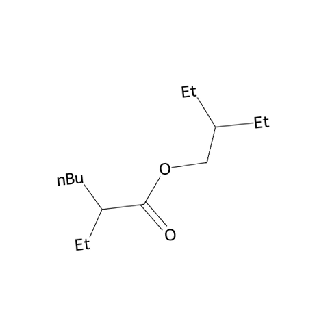 CCCCC(CC)C(=O)OCC(CC)CC